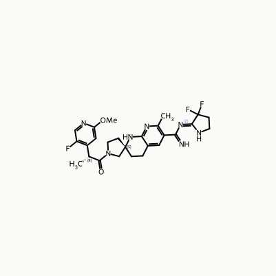 COc1cc([C@@H](C)C(=O)N2CC[C@@]3(CCc4cc(C(=N)/N=C5\NCCC5(F)F)c(C)nc4N3)C2)c(F)cn1